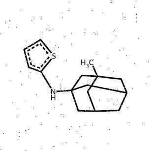 CC12CC3CC(C1)CC(Nc1cccs1)(C3)C2